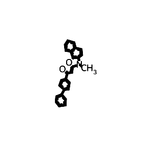 CN1C(=CC(=O)c2ccc(-c3ccccc3)cc2)Oc2c1ccc1ccccc21